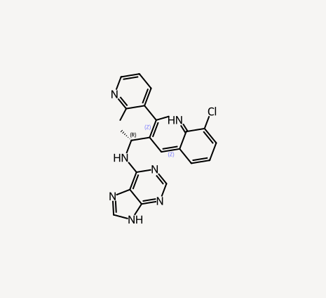 C/C(=C(\C=C1\C=CC=C(Cl)C1=N)[C@@H](C)Nc1ncnc2[nH]cnc12)c1cccnc1C